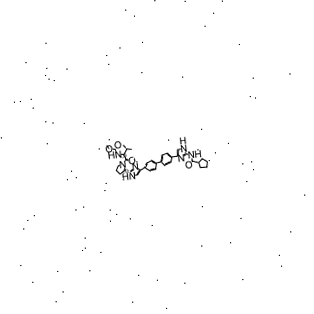 COC(=O)N[C@H](C(=O)N1CCC[C@H]1c1nc(-c2ccc(-c3ccc(-c4c[nH]c(NC(=O)C5CCCC5)n4)cc3)cc2)c[nH]1)C(C)C